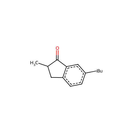 CCC(C)c1ccc2c(c1)C(=O)C(C)C2